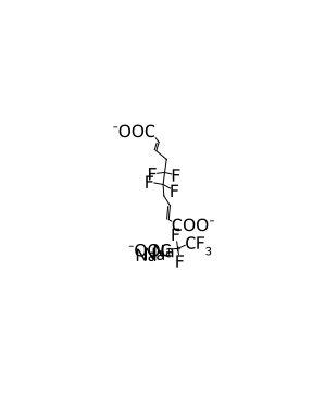 O=C([O-])C(F)(F)C(F)(F)F.O=C([O-])C=CCC(F)(F)C(F)(F)CC=CC(=O)[O-].[Na+].[Na+].[Na+]